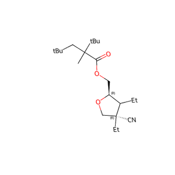 CCC1[C@H](COC(=O)C(C)(CC(C)(C)C)C(C)(C)C)OC[C@]1(C#N)CC